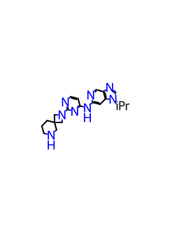 CC(C)n1cnc2cnc(Nc3ccnc(N4CC5(CCCNC5)C4)n3)cc21